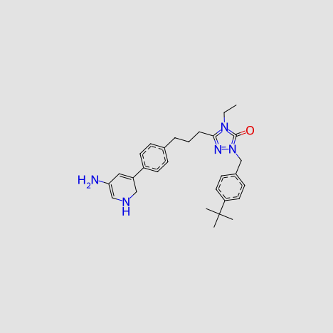 CCn1c(CCCc2ccc(C3=CC(N)=CNC3)cc2)nn(Cc2ccc(C(C)(C)C)cc2)c1=O